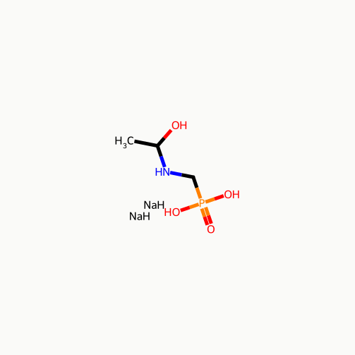 CC(O)NCP(=O)(O)O.[NaH].[NaH]